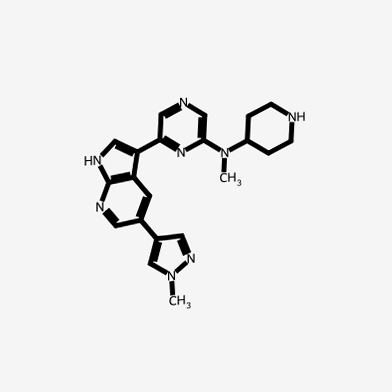 CN(c1cncc(-c2c[nH]c3ncc(-c4cnn(C)c4)cc23)n1)C1CCNCC1